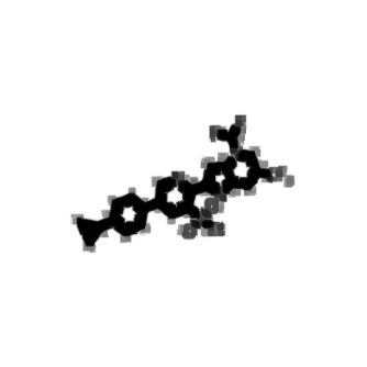 CCS(=O)(=O)c1cc(-c2ccc(C3CC3)cc2)cnc1-c1cc2n(C(F)F)cc(C(F)(F)F)cc-2n1